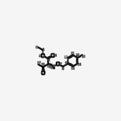 CCOC(=O)/C(=N\OCc1ccc(C)cc1)C(C)=O